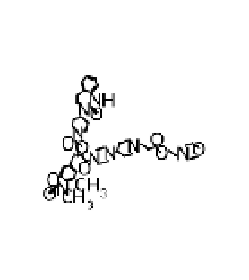 Cc1cc(C[C@@H](OC(=O)N2CCC(N3CCc4ccccc4NC3=O)CC2)C(=O)N2CCN(C3CCN(CCC(=O)OCCN4CCOCC4)CC3)CC2)cc2oc(=O)n(C)c12